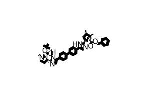 C[C@@H]1C[C@@H](c2ncc(-c3ccc(-c4ccc(-c5cnc([C@@H]6CCN(C)N6C(=O)OC(C)(C)C)[nH]5)cc4)cc3)[nH]2)N(C(=O)OCc2ccccc2)[C@@H]1C